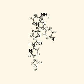 CN1CC(c2ccc(NC(=O)c3csc(-c4c(-c5ccc(F)cc5)nc5c(N)cccn45)n3)nc2)C1